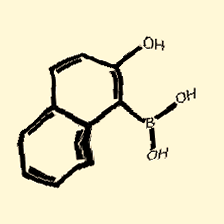 OB(O)c1c(O)ccc2ccccc12